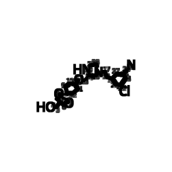 CC(C)(CO)S(=O)(=O)c1ccc(OC[C@@H]2CN(CCc3cc(Cl)cc(C#N)c3)CCN2)cc1